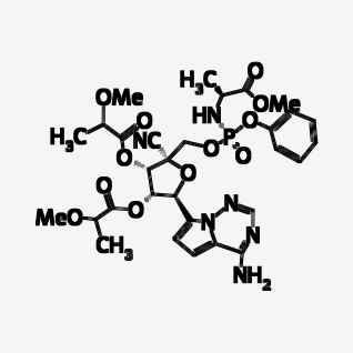 COC(=O)[C@H](C)N[P@](=O)(OC[C@@]1(C#N)O[C@@H](c2ccc3c(N)ncnn23)[C@H](OC(=O)C(C)OC)[C@@H]1OC(=O)C(C)OC)Oc1ccccc1